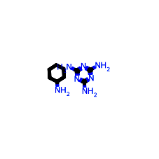 NC1CCCCC1.Nc1nc(N)nc(N)n1